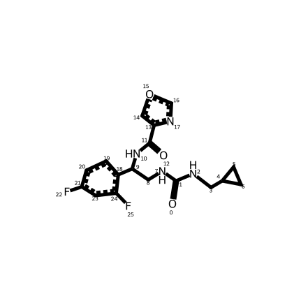 O=C(NCC1CC1)NCC(NC(=O)c1cocn1)c1ccc(F)cc1F